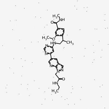 CCNC(=O)Cn1ncc2cc(-c3cc(NCC(C)c4ccc(C(=O)NC)cc4OC)ncn3)cnc21